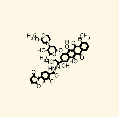 COc1cccc2c1C(=O)c1c(O)c3c(c(O)c1C2=O)C[C@@](O)(/C(CO)=N/NC(=O)c1ccc(N2C(=O)C=CC2=O)c(F)c1Cl)C[C@@H]3O[C@H]1CC(N2CCO[C@@H](OC)C2)[C@H](O)[C@H](C)O1